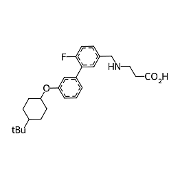 CC(C)(C)C1CCC(Oc2cccc(-c3cc(CNCCC(=O)O)ccc3F)c2)CC1